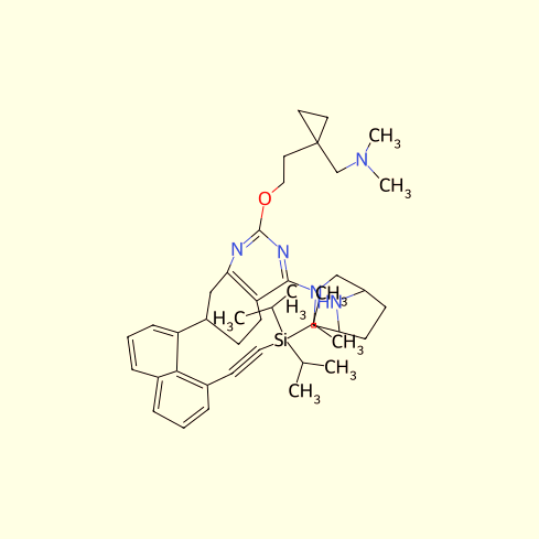 CC(C)[Si](C#Cc1cccc2cccc(C3CCc4c(nc(OCCC5(CN(C)C)CC5)nc4N4CC5CCC(C4)N5)C3)c12)(C(C)C)C(C)C